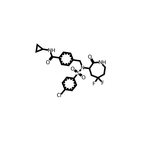 O=C(NC1CC1)c1ccc(CN(C2CC(F)(F)CCNC2=O)S(=O)(=O)c2ccc(Cl)cc2)cc1